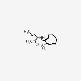 CCCC(NCC1=C\CCCC/C=C/C=C\1C)C(C)C